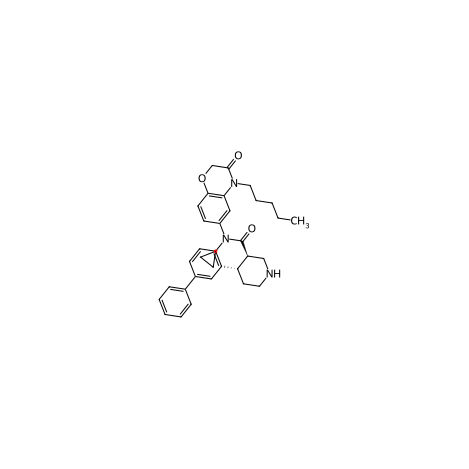 CCCCCN1C(=O)COc2ccc(N(C(=O)[C@H]3CNCC[C@@H]3c3cccc(-c4ccccc4)c3)C3CC3)cc21